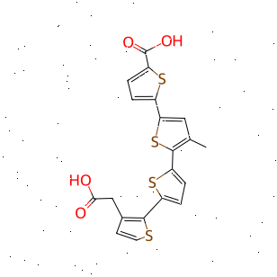 Cc1cc(-c2ccc(C(=O)O)s2)sc1-c1ccc(-c2sccc2CC(=O)O)s1